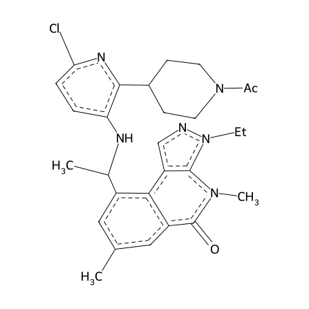 CCn1ncc2c3c(C(C)Nc4ccc(Cl)nc4C4CCN(C(C)=O)CC4)cc(C)cc3c(=O)n(C)c21